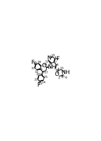 C[C@@H]1CO[C@H](CCc2c(F)cncc2NC(=O)CC(c2ccc(F)cc2)c2ccc(F)cc2)CN1